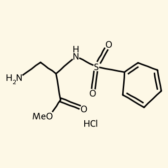 COC(=O)C(CN)NS(=O)(=O)c1ccccc1.Cl